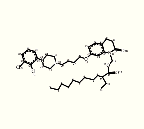 CCCCCCCCCC(CC)C(=O)OCN1C(=O)CCc2ccc(OCCCCN3CCN(c4cccc(Cl)c4Cl)CC3)cc21